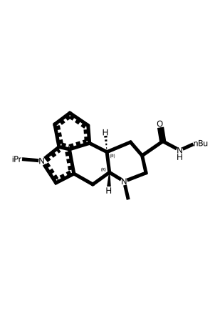 CCCCNC(=O)C1C[C@@H]2c3cccc4c3c(cn4C(C)C)C[C@H]2N(C)C1